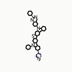 C=N/C=C\C(=C/C)c1ccc2c3cc4c(cc3n(-c3ccccc3)c2c1)sc1cc2c(cc14)c1ccccc1n2-c1ccc2nc(-c3ccccc3)ncc2c1